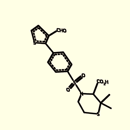 CC1(C)SCCN(S(=O)(=O)c2ccc(-c3sccc3C=O)cc2)C1C(=O)O